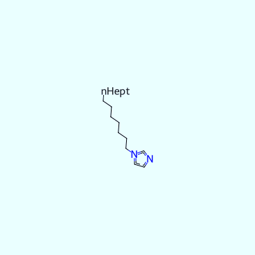 CCCCCCCCCCCCCCn1ccnc1